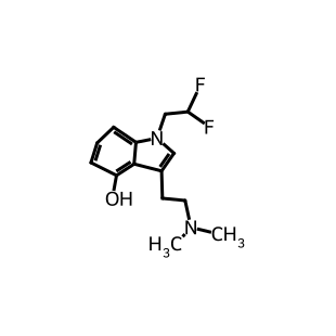 CN(C)CCc1cn(CC(F)F)c2cccc(O)c12